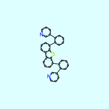 c1cncc(-c2ccccc2-c2cccc3c2sc2c(-c4ccccc4-c4cccnc4)cccc23)c1